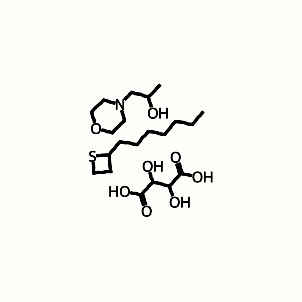 CC(O)CN1CCOCC1.CCCCCCCC1CCS1.O=C(O)C(O)C(O)C(=O)O